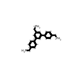 PCc1ccc(-c2cc(CP)cc(-c3ccc(CP)cc3)c2)cc1